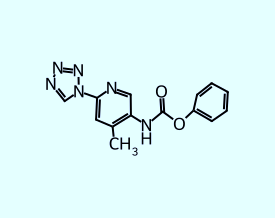 Cc1cc(-n2cnnn2)ncc1NC(=O)Oc1ccccc1